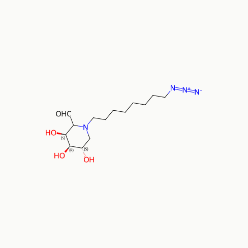 [N-]=[N+]=NCCCCCCCCN1C[C@H](O)[C@@H](O)[C@@H](O)C1C=O